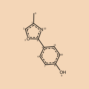 Cc1coc(-c2ccc(O)cc2)n1